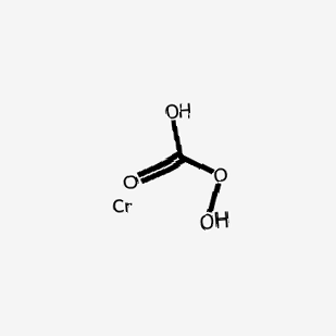 O=C(O)OO.[Cr]